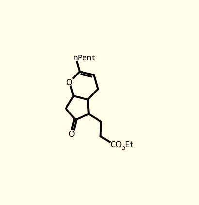 CCCCCC1=CCC2C(CC(=O)C2CCC(=O)OCC)O1